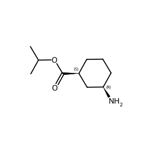 CC(C)OC(=O)[C@H]1CCC[C@@H](N)C1